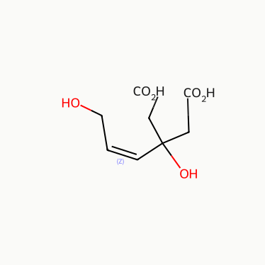 O=C(O)CC(O)(/C=C\CO)CC(=O)O